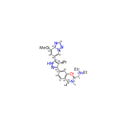 CCN(CC)CC(=O)N(C)[C@@H](C)c1ccc(-c2n[nH]c(-c3cc(OC)c4ncnn4c3)c2C(C)C)cc1